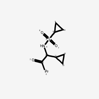 CC(C)C(=O)C(NS(=O)(=O)C1CC1)C1CC1